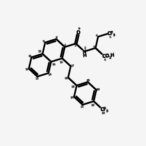 O=C(NC(CC(F)(F)F)C(=O)O)c1ccc2ccccc2c1CCc1ccc(C(F)(F)F)cc1